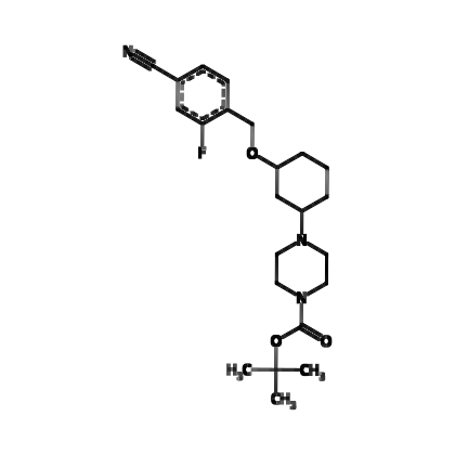 CC(C)(C)OC(=O)N1CCN(C2CCCC(OCc3ccc(C#N)cc3F)C2)CC1